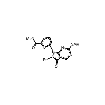 CCn1c(=O)c2cnc(SC)nc2n1-c1cccc(C(=O)NC)n1